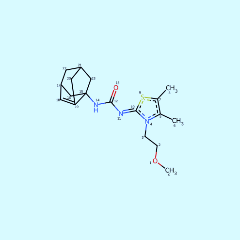 COCCn1c(C)c(C)sc1=NC(=O)NC12CC3C=C1CC(C3)C2